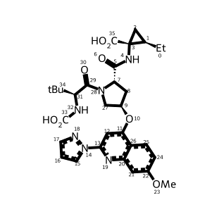 CC[C@@H]1C[C@]1(NC(=O)[C@@H]1C[C@@H](Oc2cc(-n3cccn3)nc3cc(OC)ccc23)CN1C(=O)[C@@H](NC(=O)O)C(C)(C)C)C(=O)O